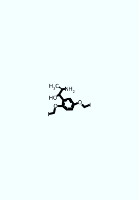 C[C@@H](N)C(O)c1cc(OCI)ccc1OCI